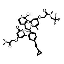 Cc1cc(OCC(=O)N(C)C)cc(=O)n1[C@@H](c1ccnc(O)c1)[C@H](c1ccc(C#CC2CC2)cc1)n1c(C)cc(OCC(=O)N(C)CC(F)(F)F)cc1=O